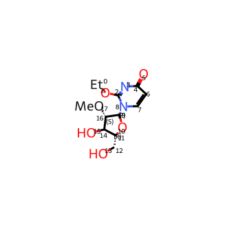 CCOc1nc(=O)ccn1[C@@H]1O[C@H](CO)C(O)[C@@H]1OC